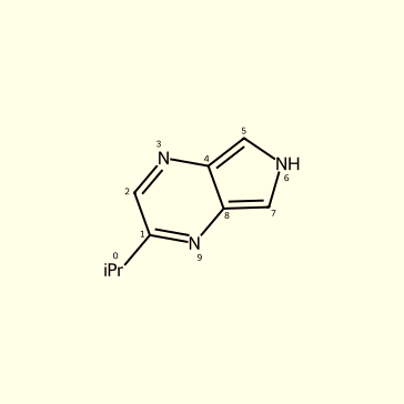 CC(C)c1cnc2c[nH]cc2n1